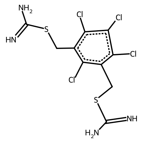 N=C(N)SCc1c(Cl)c(Cl)c(Cl)c(CSC(=N)N)c1Cl